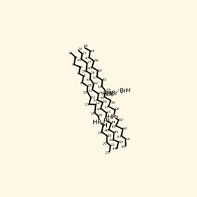 Br.Br.Br.CCCCCCCCCCCCCCPCCCCCC.CCCCCCCCCCCCCCPCCCCCC.CCCCCCCCCCCCCCPCCCCCC